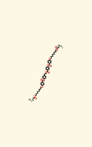 C=CC(=O)OCCCCCCCCOc1ccc(C(=O)Oc2ccc(CCOC(=O)c3ccc(OC(=O)c4ccc(OCCCCCCCCOC(=O)C=C)cc4)cc3)cc2)cc1